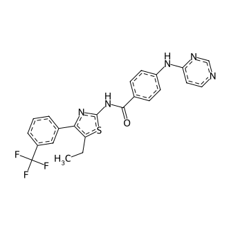 CCc1sc(NC(=O)c2ccc(Nc3ccncn3)cc2)nc1-c1cccc(C(F)(F)F)c1